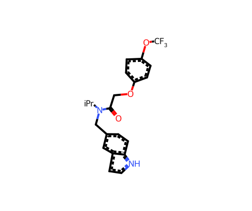 CC(C)N(Cc1ccc2[nH]ccc2c1)C(=O)COc1ccc(OC(F)(F)F)cc1